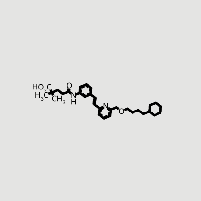 CC(C)(CCC(=O)Nc1cccc(/C=C/c2cccc(COCCCCC3CCCCC3)n2)c1)C(=O)O